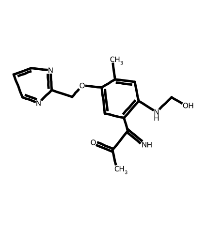 CC(=O)C(=N)c1cc(OCc2ncccn2)c(C)cc1NCO